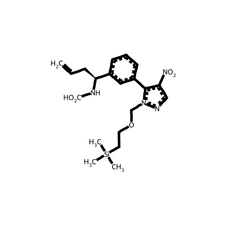 C=CC[C@H](NC(=O)O)c1cccc(-c2c([N+](=O)[O-])cnn2COCC[Si](C)(C)C)c1